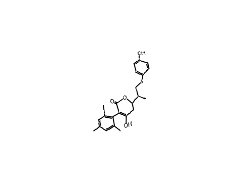 Cc1cc(C)c(C2=C(O)CC(C(C)CSc3ccc(O)cc3)OC2=O)c(C)c1